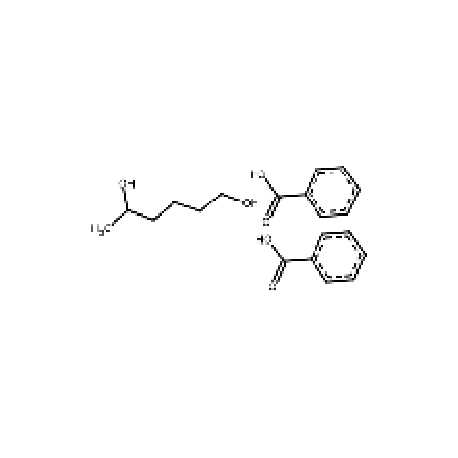 CC(O)CCCCO.O=C(O)c1ccccc1.O=C(O)c1ccccc1